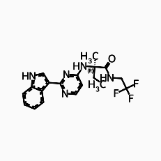 CC[C@@](C)(Nc1ccnc(-c2c[nH]c3ccccc23)n1)C(=O)NCC(F)(F)F